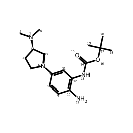 CN(C)[C@@H]1CCN(c2ccc(N)c(NC(=O)OC(C)(C)C)c2)C1